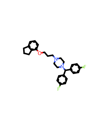 Fc1ccc(C(c2ccc(F)cc2)N2CCN(CCCOc3cccc4c3CCC4)CC2)cc1